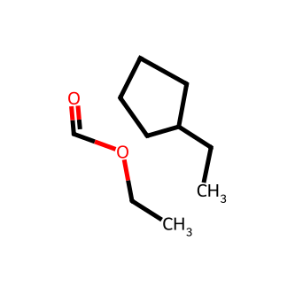 CCC1CCCC1.CCOC=O